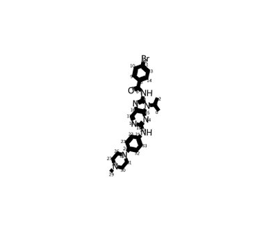 CC(C)n1c(NC(=O)c2ccc(Br)cc2)nc2cnc(Nc3ccc(N4CCN(C)CC4)cc3)nc21